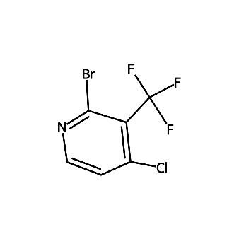 FC(F)(F)c1c(Cl)ccnc1Br